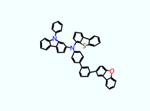 c1ccc(-n2c3ccccc3c3ccc(N(c4ccc(-c5cccc(-c6ccc7oc8ccccc8c7c6)c5)cc4)c4cccc5c4sc4ccccc45)cc32)cc1